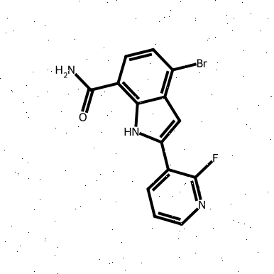 NC(=O)c1ccc(Br)c2cc(-c3cccnc3F)[nH]c12